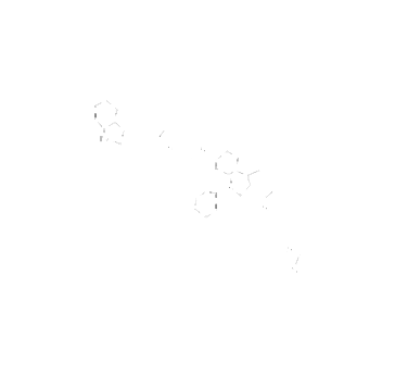 O=C(CCc1c[nH]c2ccccc12)NC1CCN(c2c(F)cc3c(=O)c(C(=O)NCCCN4C=NCC4)cn4c3c2Oc2ccccc2-4)C1